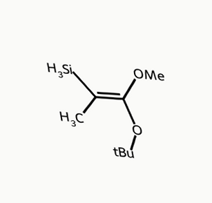 COC(OC(C)(C)C)=C(C)[SiH3]